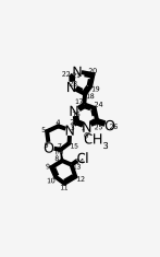 Cn1c(N2CCO[C@H](C3C=CC=CC3Cl)C2)nc(-c2ccncn2)cc1=O